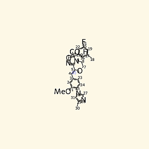 COc1cc(/C=C2\OCCN3C2=NOC3(C(=O)O)c2cc(C)cc(F)c2)ccc1-n1cnc(C)c1